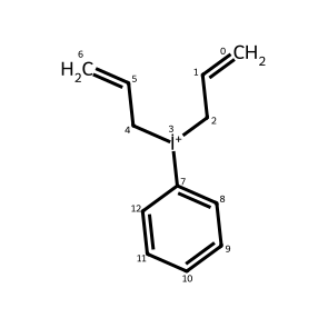 C=CC[I+](CC=C)c1ccccc1